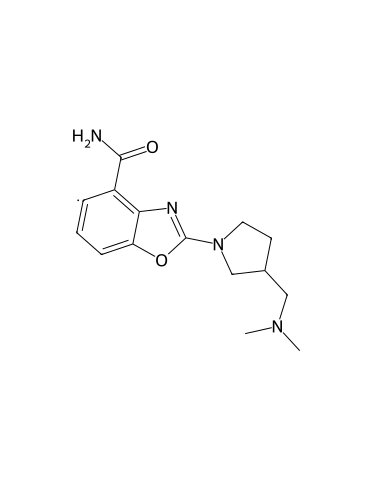 CN(C)CC1CCN(c2nc3c(C(N)=O)[c]ccc3o2)C1